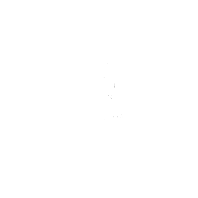 CC(=O)Oc1ccccc1-c1n[nH]c(=O)c2ccccc12